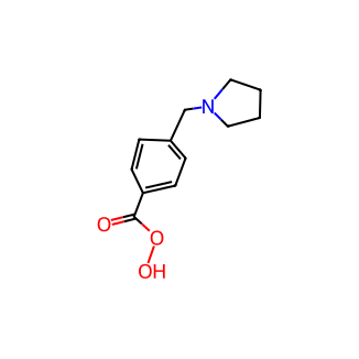 O=C(OO)c1ccc(CN2CCCC2)cc1